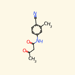 CC(=O)CC(=O)Nc1ccc(C#N)c(C)c1